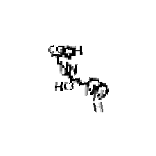 O=C(O)CC(Cn1cnc(C(O)CCc2ccc3c(n2)NCCC3)c1)c1ccccc1